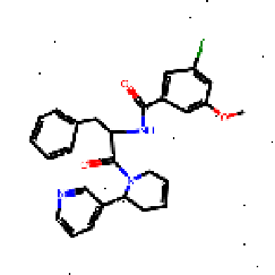 COc1cc(F)cc(C(=O)NC(Cc2ccccc2)C(=O)N2CC=CCC2c2cccnc2)c1